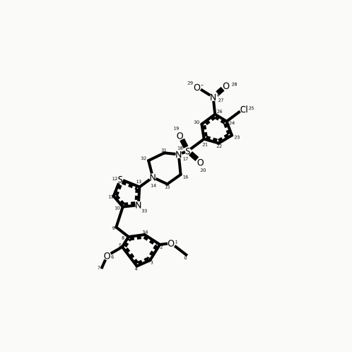 COc1ccc(OC)c(Cc2csc(N3CCN(S(=O)(=O)c4ccc(Cl)c([N+](=O)[O-])c4)CC3)n2)c1